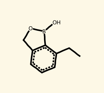 CCc1cccc2c1B(O)OC2